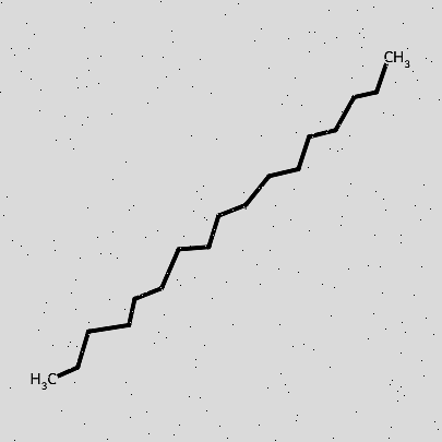 CCCCCCC[CH]CCCCCCCCC